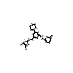 Cc1cccc(CNc2cc(N3CCSCC3)cc(CSc3nc(C)c(C)s3)n2)n1